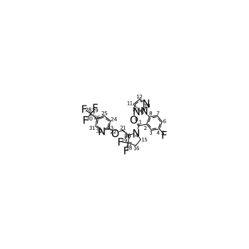 O=C(c1cc(F)ccc1-n1nccn1)N1CCC(F)(F)[C@H]1COc1ccc(C(F)(F)F)cn1